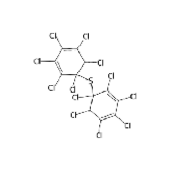 ClC1=C(Cl)C(Cl)C(Cl)(SC2(Cl)C(Cl)=C(Cl)C(Cl)=C(Cl)C2Cl)C(Cl)=C1Cl